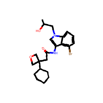 CC(O)Cn1cc(NC(=O)CC2(C3CCCCC3)COC2)c2c(Br)cccc21